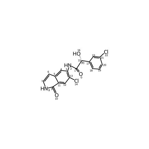 O=C(Nc1cc2cc[nH]c(=O)c2cc1Cl)[C@H](O)c1cccc(Cl)c1